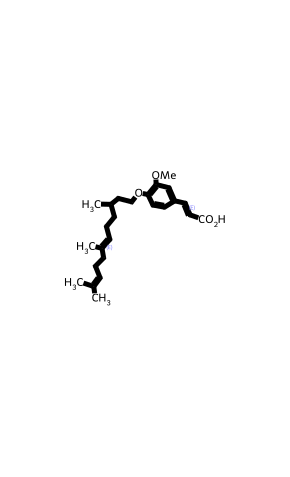 COc1cc(/C=C/C(=O)O)ccc1OCCC(C)CC/C=C(\C)CCC=C(C)C